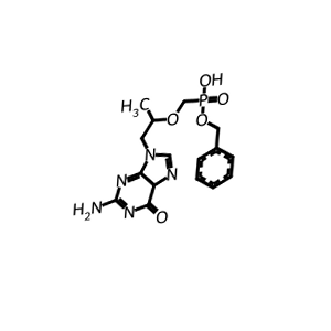 CC(CN1C=NC2C(=O)N=C(N)N=C21)OCP(=O)(O)OCc1ccccc1